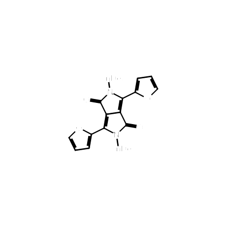 CCCCCCCCCCN1C(=O)C2=C(c3ccco3)N(CCCCCCCCCC)C(=O)C2=C1c1ccco1